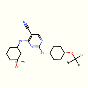 [2H]C([2H])([2H])O[C@H]1CC[C@H](Nc2ncc(C#N)c(NC3CCC[C@](C)(O)C3)n2)CC1